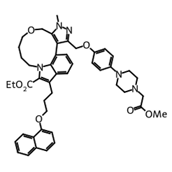 CCOC(=O)c1c(CCCOc2cccc3ccccc23)c2cccc3c2n1CCCCOCc1c-3c(COc2ccc(N3CCN(CC(=O)OC)CC3)cc2)nn1C